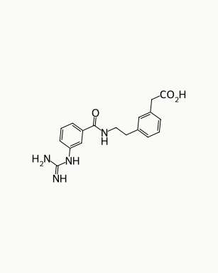 N=C(N)Nc1cccc(C(=O)NCCc2cccc(CC(=O)O)c2)c1